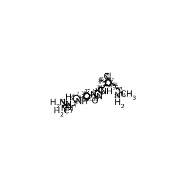 C=C[C@H](C[C@@H]1CCC[C@@H](c2ccc(-n3cc4cc(-c5cc(CCC[C@H](C)N)cc(Cl)c5F)[nH]c4nc3=O)cc2)N1)NC(=N)N